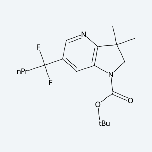 CCCC(F)(F)c1cnc2c(c1)N(C(=O)OC(C)(C)C)CC2(C)C